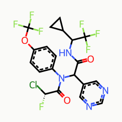 O=C(NC(C1CC1)C(F)(F)F)C(c1cncnc1)N(C(=O)[C@H](F)Cl)c1ccc(OC(F)(F)F)cc1